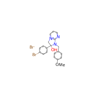 COc1ccc(CN2c3nccc[n+]3CC2(O)c2ccc(Br)cc2)cc1.[Br-]